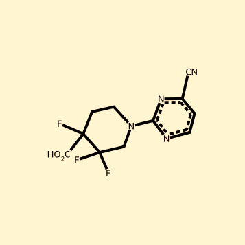 N#Cc1ccnc(N2CCC(F)(C(=O)O)C(F)(F)C2)n1